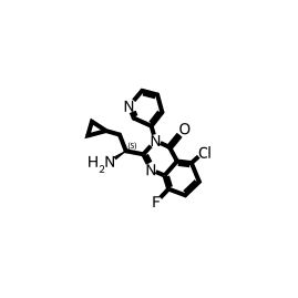 N[C@@H](CC1CC1)c1nc2c(F)ccc(Cl)c2c(=O)n1-c1cccnc1